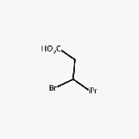 CC(C)C(Br)CC(=O)O